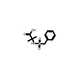 CC(C)(NS(=O)(=O)Cc1ccccc1)C(=O)O